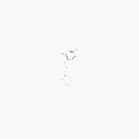 O=C(O)N1CCC(NCCc2ccc(Cl)nc2Cl)CC1